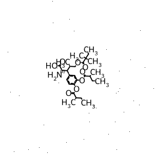 CCC(C)C(=O)Oc1ccc(C(C(C)COC(=O)C(C)(C)CC)[C@H](N)C(=O)O)cc1OC(=O)C(C)CC